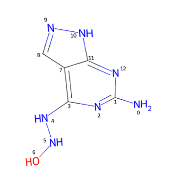 Nc1nc(NNO)c2cn[nH]c2n1